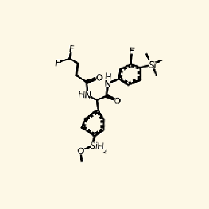 CO[SiH2]c1ccc(C(NC(=O)CCC(F)F)C(=O)Nc2ccc([Si](C)(C)C)c(F)c2)cc1